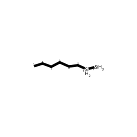 CCCCCC[SiH2][SiH3]